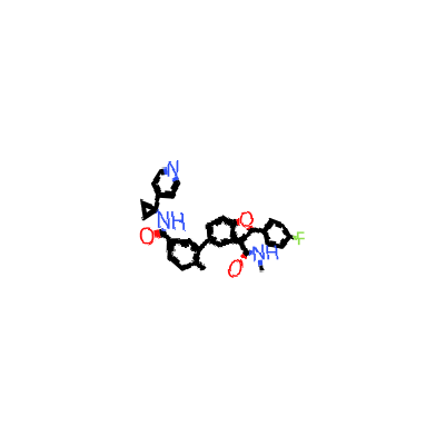 CNC(=O)c1c(-c2ccc(F)cc2)oc2ccc(-c3cc(C(=O)NC4(c5ccncc5)CC4)ccc3C)cc12